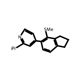 CSc1c(-c2ccnc(C(C)C)c2)ccc2c1CCC2